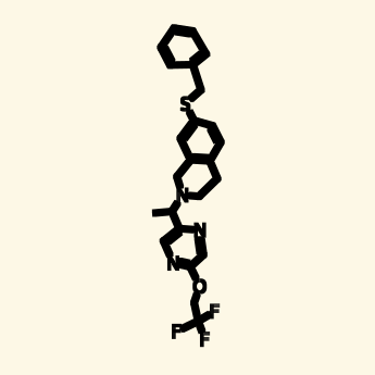 CC(c1cnc(OCC(F)(F)F)cn1)N1CCc2ccc(SCc3ccccc3)cc2C1